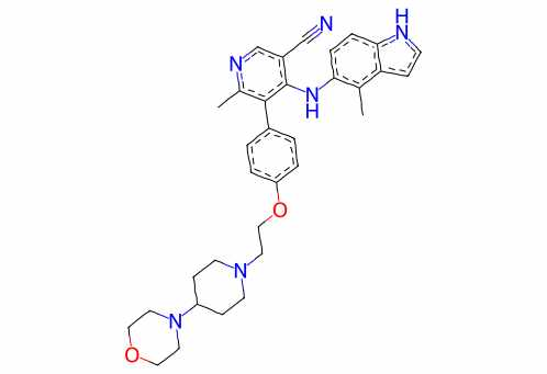 Cc1ncc(C#N)c(Nc2ccc3[nH]ccc3c2C)c1-c1ccc(OCCN2CCC(N3CCOCC3)CC2)cc1